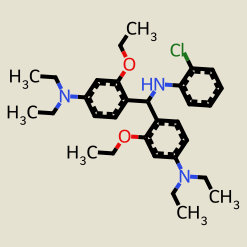 CCOc1cc(N(CC)CC)ccc1C(Nc1ccccc1Cl)c1ccc(N(CC)CC)cc1OCC